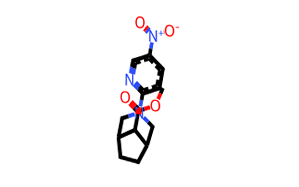 COC(=O)C1C2CCC1CN(c1ccc([N+](=O)[O-])cn1)C2